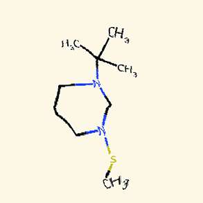 CSN1CCCN(C(C)(C)C)C1